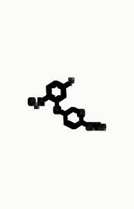 COC1C=CC(Oc2cc(F)ccc2[N+](=O)[O-])CO1